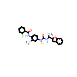 CC(NC(=O)N(S)c1ccc(NC(=O)c2ccccc2F)c(C(F)(F)F)c1)c1cc2ccccc2o1